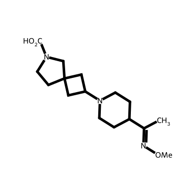 CO/N=C(\C)C1CCN(C2CC3(CCN(C(=O)O)C3)C2)CC1